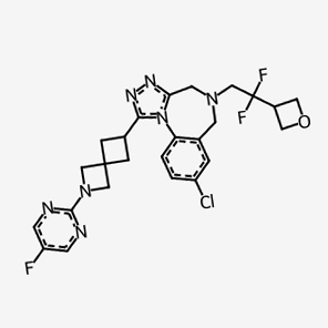 Fc1cnc(N2CC3(CC(c4nnc5n4-c4ccc(Cl)cc4CN(CC(F)(F)C4COC4)C5)C3)C2)nc1